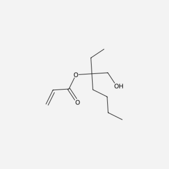 C=CC(=O)OC(CC)(CO)CCCC